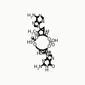 CO[C@H]1[C@H]2OP(=O)(O)OC[C@@H]3[C@@H](O[P@@](=O)(S)OC[C@H]1O[C@H]2n1cnc2c(=O)[nH]c(N)nc21)[C@@H](C)C1(n2cnc4c(N)ncnc42)C[C@@H]31